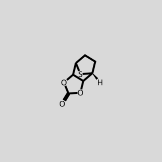 O=C1OC2C3CC[C@@H](S3)C2O1